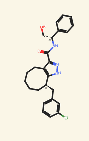 O=C(N[C@H](CO)c1ccccc1)c1n[nH]c2c1CCCCC[C@@H]2Cc1cccc(Cl)c1